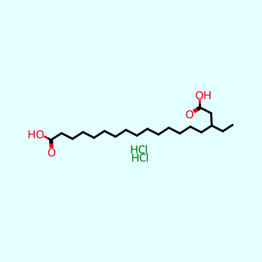 CCC(CCCCCCCCCCCCCCC(=O)O)CC(=O)O.Cl.Cl